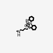 CNCCCCN1c2ccccc2N(c2ccccc2F)S1(=O)=O